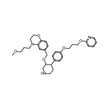 COCCCN1CCOc2ccc(COC3CNCCC3c3ccc(OCCCOc4ccccn4)cc3)cc21